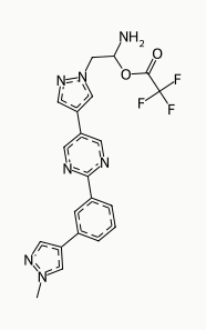 Cn1cc(-c2cccc(-c3ncc(-c4cnn(CC(N)OC(=O)C(F)(F)F)c4)cn3)c2)cn1